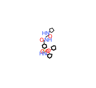 O=C(CNC(=O)c1ccc(S(=O)(=O)Nc2ccccc2Oc2ccccc2)cc1)NC1CCCC1